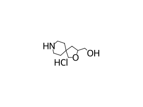 Cl.OCC1CC2(CCNCC2)CO1